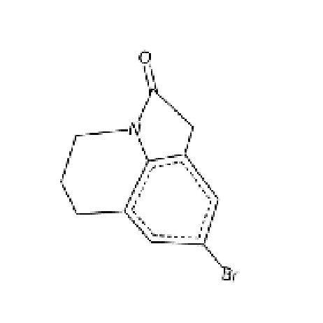 O=C1Cc2cc(Br)cc3c2N1CCC3